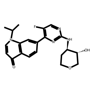 CC(C)n1ccc(=O)c2ccc(-c3nc(N[C@@H]4CCOC[C@H]4O)ncc3F)cc21